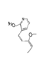 C/C=C(\C=C/c1cccnc1O)OC